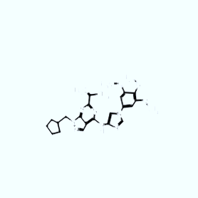 C=C(C)c1nc(Nc2cn(-c3cc(OC)c(OC)c(OC)c3)cn2)c2cnn(CC3CCCC3)c2n1